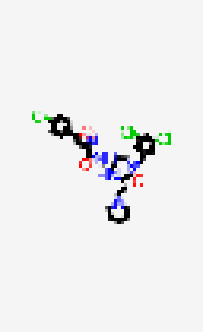 O=C(NC[C@@H]1CCN(Cc2cc(Cl)cc(Cl)c2)C(=O)[C@H](CCN2CCCCC2)N1)c1cc(-c2ccc(Cl)cc2)on1